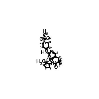 C[C@@]1(O)CCC[C@H]1N1C(=O)C(F)(F)Cc2cnc(NC3CCN(S(C)(=O)=O)CC3)nc21